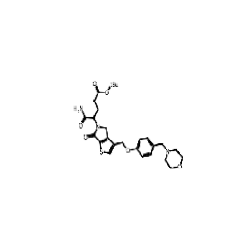 CC(C)(C)OC(=O)CCC(C(N)=O)N1Cc2c(COc3ccc(CN4CCOCC4)cc3)csc2C1=O